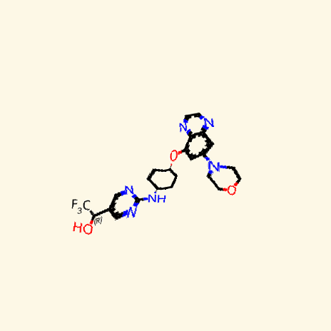 O[C@H](c1cnc(N[C@H]2CC[C@@H](Oc3cc(N4CCOCC4)cc4nccnc34)CC2)nc1)C(F)(F)F